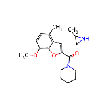 CC1CN1.COc1ccc(C)c2cc(C(=O)N3CCCCC3)oc12